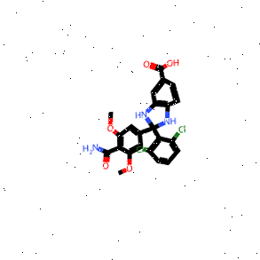 COc1cc(C2(c3c(Cl)cccc3Cl)Nc3ccc(C(=O)O)cc3N2)cc(OC)c1C(N)=O